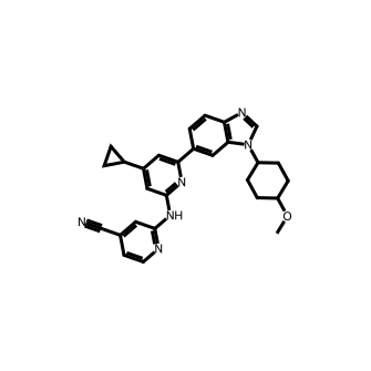 COC1CCC(n2cnc3ccc(-c4cc(C5CC5)cc(Nc5cc(C#N)ccn5)n4)cc32)CC1